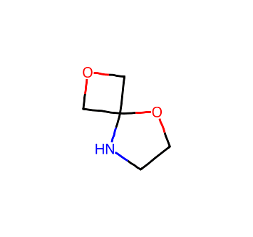 C1COC2(COC2)N1